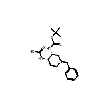 CC(C)(C)OC(=O)N[C@@H]1CN(Cc2ccccc2)CC[C@H]1NC(=O)O